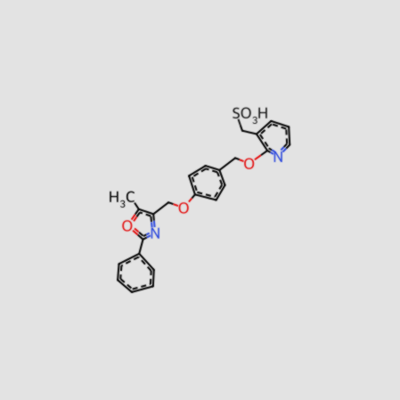 Cc1oc(-c2ccccc2)nc1COc1ccc(COc2ncccc2CS(=O)(=O)O)cc1